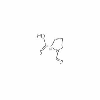 O=CN1CCC[C@H]1C(O)=S